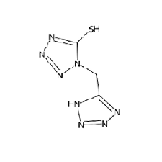 Sc1nnnn1Cc1nnn[nH]1